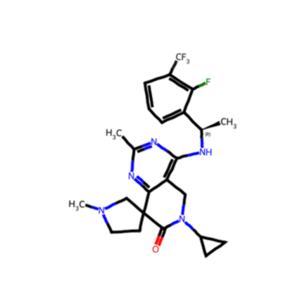 Cc1nc(N[C@H](C)c2cccc(C(F)(F)F)c2F)c2c(n1)C1(CCN(C)C1)C(=O)N(C1CC1)C2